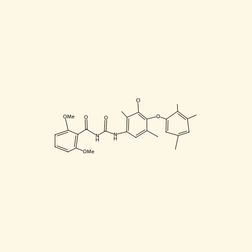 COc1cccc(OC)c1C(=O)NC(=O)Nc1cc(C)c(Oc2cc(C)cc(C)c2C)c(Cl)c1C